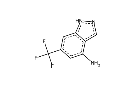 Nc1cc(C(F)(F)F)cc2[nH]ncc12